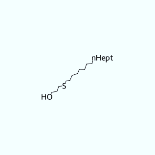 CCCCCCCCCCCCCCCSCCCO